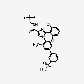 Cc1cc(-c2cccc(S(C)(=O)=O)c2)ccc1-n1cc(C(=O)NCC(F)(F)F)nc1-c1c(Cl)cccc1Cl